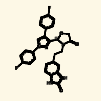 O=C1CO[C@H](c2nn(-c3ccc(F)cc3)cc2-c2ccc(F)cc2)N1CCc1ccc2[nH]c(=O)[nH]c2c1